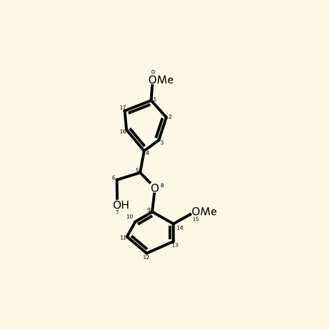 COc1ccc(C(CO)Oc2ccccc2OC)cc1